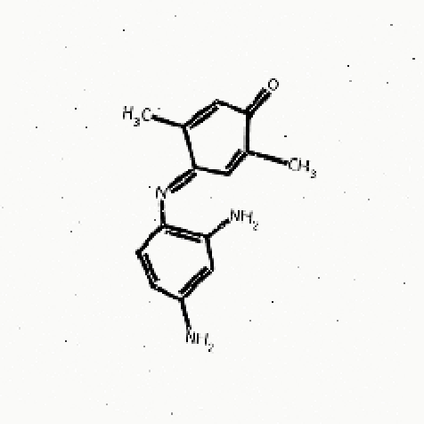 CC1=CC(=Nc2ccc(N)cc2N)C(C)=CC1=O